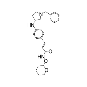 O=C(C=Cc1ccc(N[C@@H]2CCN(Cc3ccccc3)C2)cc1)NOC1CCCCO1